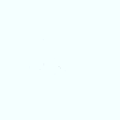 CC1(C)c2ccccc2-c2ccc(N(c3cccc(-c4ccc5ccccc5c4)c3)c3ccc4oc5ccc6ccccc6c5c4c3)cc21